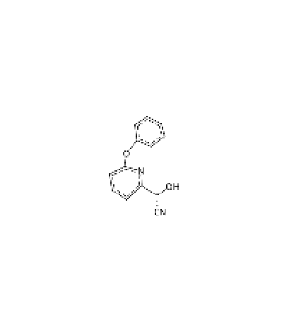 N#C[C@@H](O)c1cccc(Oc2ccccc2)n1